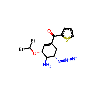 CCC(CC)O[C@@H]1C=C(C(=O)c2cccs2)C[C@H](N=[N+]=[N-])[C@H]1N